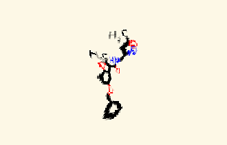 Cc1cc(CNC(=O)c2c(C)oc3ccc(OCc4ccccc4)cc23)no1